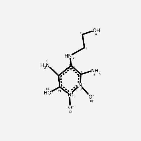 Nc1c(NCCO)c(N)[n+]([O-])[n+]([O-])c1O